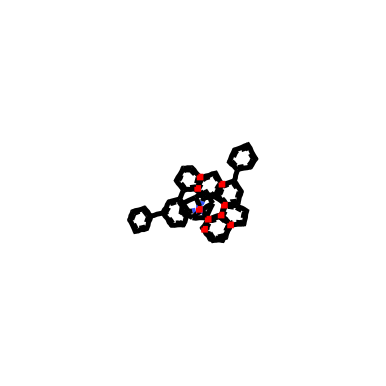 c1ccc(-c2ccc(-c3ccccc3N(c3ccc(-c4ccccc4)cc3-c3ccccc3)c3ccccc3-c3cccc4cccc(C56C7CCC5CC6C7)c34)cc2)cc1